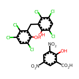 O=C(O)c1cc([N+](=O)[O-])cc([N+](=O)[O-])c1O.Oc1c(Cl)cc(Cl)c(Cl)c1Cc1c(O)c(Cl)cc(Cl)c1Cl